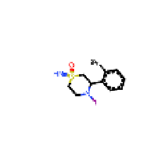 CC(C)c1ccccc1C1CS(=N)(=O)CCN1I